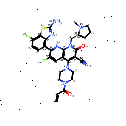 C=CC(=O)N1CCN(c2c(C#N)c(=O)n(C[C@@H]3CCCN3C)c3nc(-c4ccc(F)c5sc(N)nc45)c(F)cc23)CC1